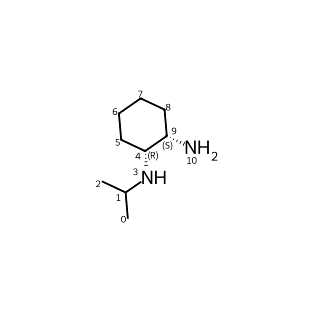 CC(C)N[C@@H]1CCCC[C@@H]1N